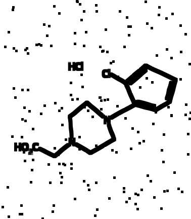 Cl.O=C(O)CN1CCN(c2ccccc2Cl)CC1